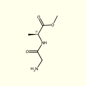 COC(=O)[C@H](C)NC(=O)CN